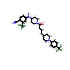 N#Cc1ccc(NC2CCN(C(=O)CCCC3CCN(c4ccc(C(F)(F)F)cc4)CC3)CC2)cc1C(F)(F)F